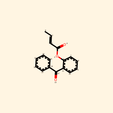 CC=CC(=O)Oc1ccccc1C(=O)c1ccccc1